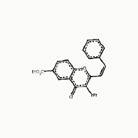 CCCc1c(/C=C\c2ccccc2)oc2ccc(C(=O)OCC)cc2c1=O